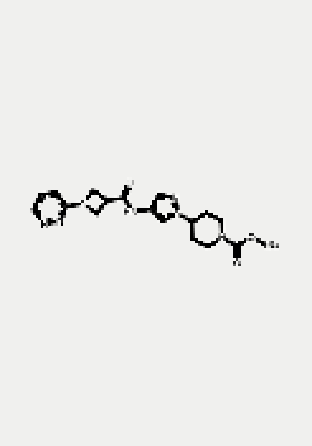 CC(C)(C)OC(=O)N1CCC(n2cc(NC(=O)C3CN(c4cccnn4)C3)cn2)CC1